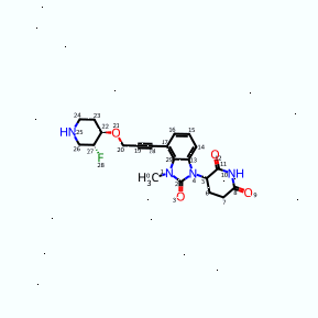 Cn1c(=O)n(C2CCC(=O)NC2=O)c2cccc(C#CCO[C@@H]3CCNC[C@H]3F)c21